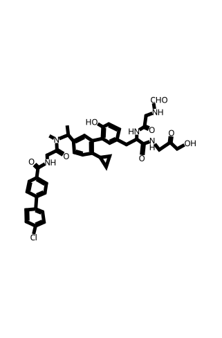 CC(c1ccc(C2CC2)c(-c2cc(CC(NC(=O)CNC=O)C(=O)NCC(=O)CO)ccc2O)c1)N(C)C(=O)CNC(=O)c1ccc(-c2ccc(Cl)cc2)cc1